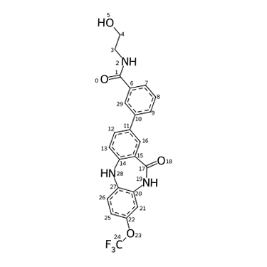 O=C(NCCO)c1cccc(-c2ccc3c(c2)C(=O)Nc2cc(OC(F)(F)F)ccc2N3)c1